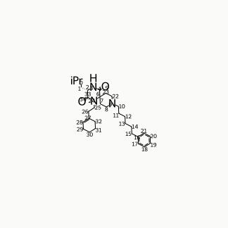 CC(C)C[C@@H]1NC(=O)C2(CCN(CCCCCCc3ccccc3)CC2)N(CCC2=CCCCC2)C1=O